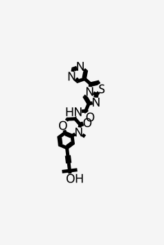 CN1C(=O)[C@@H](NC(=O)c2cn3c(-c4cncnc4)csc3n2)COc2ccc(C#CC(C)(C)O)cc21